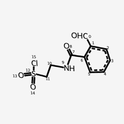 O=Cc1ccccc1C(=O)NCCS(=O)(=O)Cl